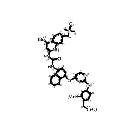 CNc1cc(Nc2nccc(Oc3ccc(NC(=O)N/C(=C/C(=N)C(C)(C)C)Nc4cccc(CP(C)(C)=O)c4)c4ccccc34)n2)ccc1CC=O